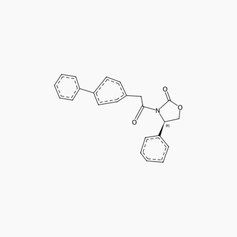 O=C(Cc1ccc(-c2ccccc2)cc1)N1C(=O)OC[C@H]1c1ccccc1